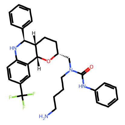 NCCCCN(C[C@H]1CC[C@@H]2[C@H](O1)c1cc(C(F)(F)F)ccc1N[C@H]2c1ccccc1)C(=O)Nc1ccccc1